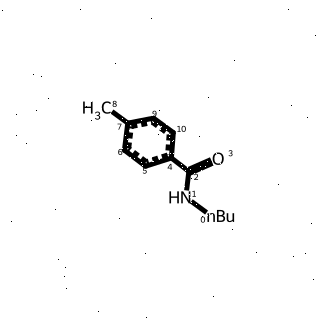 CC[CH]CNC(=O)c1ccc(C)cc1